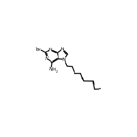 CCCCCCCCn1cnc2nc(Br)nc(N)c21